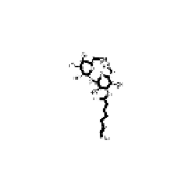 CCCCC=CCCCCC(=O)O[C@@H]1[C@@H](O)[C@@H](O[C@H]2O[C@H](CO)[C@@H](O)[C@H](O)[C@H]2O)O[C@H](CO)[C@H]1O